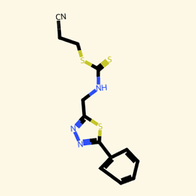 N#CCCSC(=S)NCc1nnc(-c2ccccc2)s1